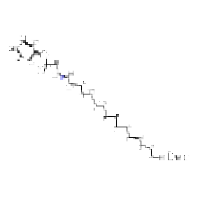 CCCCCCCCCCCCCCCCCCCCCCCCC/C=C/CC(=O)Oc1ccccc1